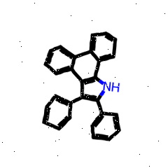 c1ccc(-c2[nH]c3c4ccccc4c4ccccc4c3c2-c2ccccc2)cc1